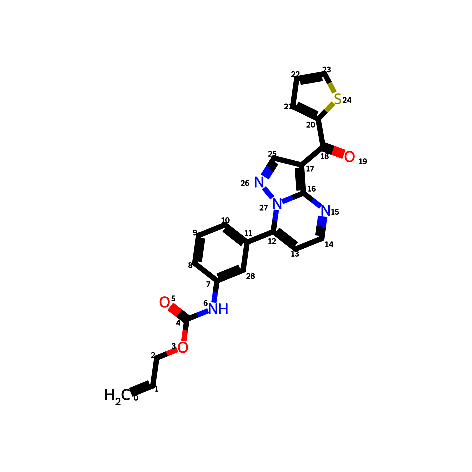 C=CCOC(=O)Nc1cccc(-c2ccnc3c(C(=O)c4cccs4)cnn23)c1